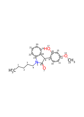 CCCCCN1C(=O)C(c2ccc(OC)cc2O)c2ccccc21